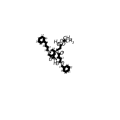 CC(C)(C)OC(=O)CCN1C(=O)C(CC(=O)OCc2ccccc2)NC(=O)C12CCN(CCCCc1ccccc1)CC2